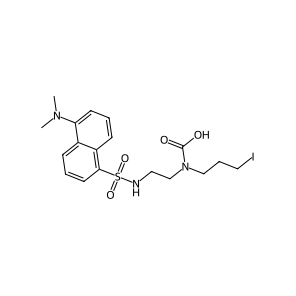 CN(C)c1cccc2c(S(=O)(=O)NCCN(CCCI)C(=O)O)cccc12